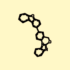 c1ccc2c(c1)nc1n2-c2ccc(-c3ccc4oc5ccccc5c4c3)cc2CO1